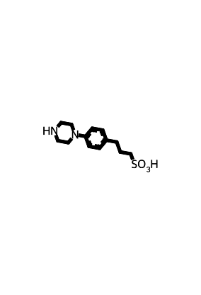 O=S(=O)(O)CCCc1ccc(N2CCNCC2)cc1